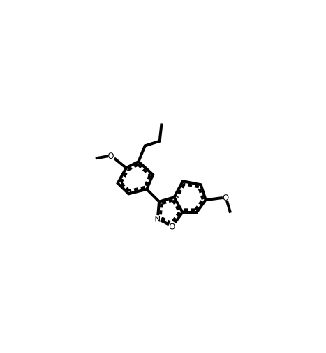 CCCc1cc(-c2noc3cc(OC)ccc23)ccc1OC